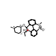 Bc1cccc([N+](=O)[O-])c1-c1c(OC)cccc1C(=O)O[C@@H]1C[C@H](C)CC[C@H]1C(C)C